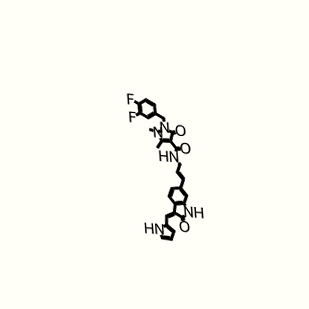 Cc1c(C(=O)NC/C=C/c2ccc3c(c2)NC(=O)C3=Cc2ccc[nH]2)c(=O)n(Cc2ccc(F)c(F)c2)n1C